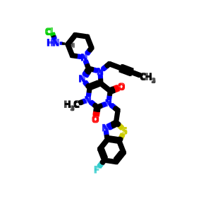 CC#CCn1c(N2CCC[C@@H](NCl)C2)nc2c1c(=O)n(Cc1nc3cc(F)ccc3s1)c(=O)n2C